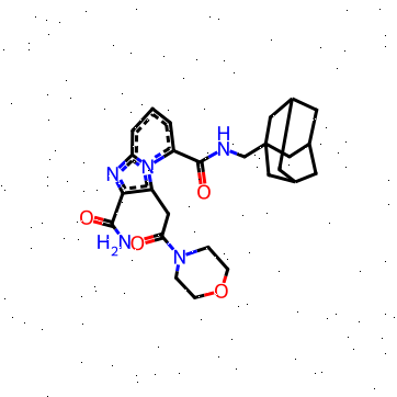 NC(=O)c1nc2cccc(C(=O)NCC34CC5CC(CC(C5)C3)C4)n2c1CC(=O)N1CCOCC1